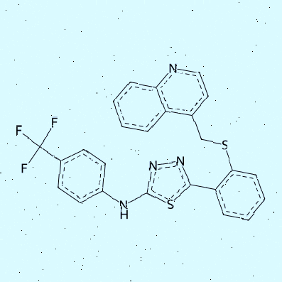 FC(F)(F)c1ccc(Nc2nnc(-c3ccccc3SCc3ccnc4ccccc34)s2)cc1